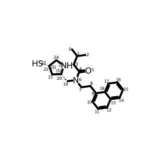 CC(C)CC(=O)N(CCc1cccc2ccccc12)C[C@@H]1C[C@H](S)CN1